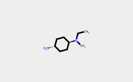 CCN(C)[C@H]1CC[C@H](N)CC1